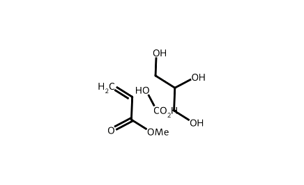 C=CC(=O)OC.O=C(O)O.OCC(O)CO